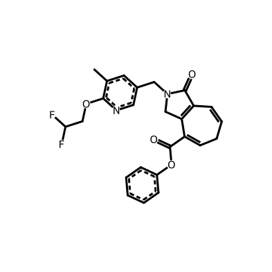 Cc1cc(CN2CC3=C(C=CCC=C3C(=O)Oc3ccccc3)C2=O)cnc1OCC(F)F